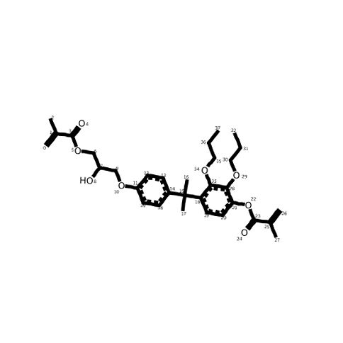 C=C(C)C(=O)OCC(O)COc1ccc(C(C)(C)c2ccc(OC(=O)C(=C)C)c(OCCC)c2OCCC)cc1